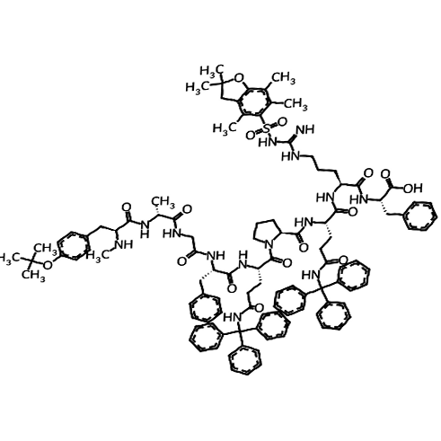 CN[C@@H](Cc1ccc(OC(C)(C)C)cc1)C(=O)N[C@H](C)C(=O)NCC(=O)N[C@@H](Cc1ccccc1)C(=O)N[C@@H](CCC(=O)NC(c1ccccc1)(c1ccccc1)c1ccccc1)C(=O)N1CCC[C@H]1C(=O)N[C@@H](CCC(=O)NC(c1ccccc1)(c1ccccc1)c1ccccc1)C(=O)N[C@@H](CCCNC(=N)NS(=O)(=O)c1c(C)c(C)c2c(c1C)CC(C)(C)O2)C(=O)N[C@@H](Cc1ccccc1)C(=O)O